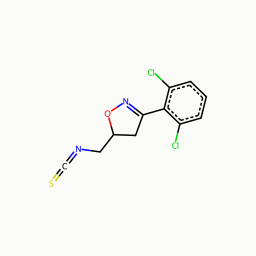 S=C=NCC1CC(c2c(Cl)cccc2Cl)=NO1